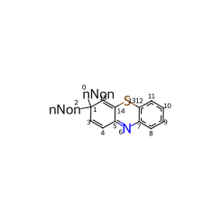 CCCCCCCCCC1(CCCCCCCCC)C=CC2=Nc3ccccc3SC2=C1